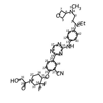 CCN(CCN(C)C1COC1)c1ccc(Nc2ncnc(-c3ccc(OC4CCN(C(=O)CO)CC4(F)F)c(C#N)c3)n2)cc1